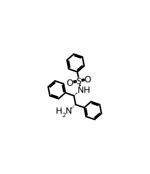 N[C@@H](c1ccccc1)[C@@H](NS(=O)(=O)c1ccccc1)c1ccccc1